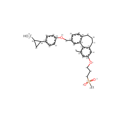 CCS(=O)(=O)CCCOc1cc(C)c2c(c1)CCCc1ccc(COc3ccc(C4CC4C(=O)O)cc3)cc1-2